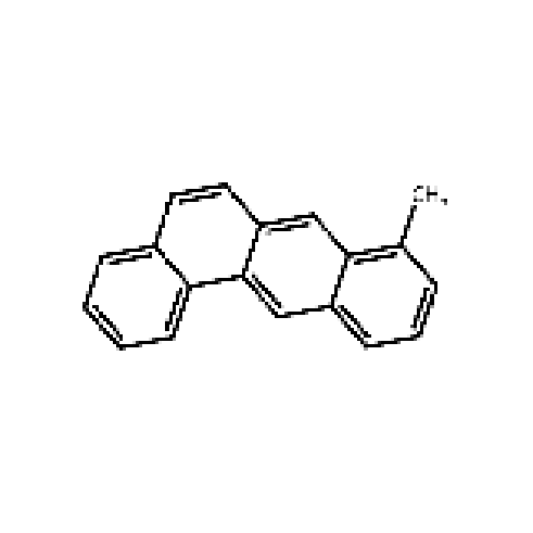 Cc1cccc2cc3c(ccc4ccccc43)cc12